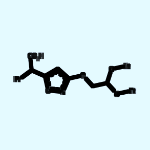 CCOC(COc1cc(C(C(=O)O)C(C)C)on1)OCC